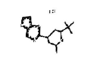 CC1CC(c2ncc3sccc3n2)CC(C(C)(C)C)N1.Cl